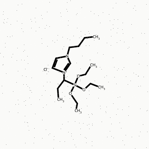 CCCCn1cc[n+](C(CC)[Si](OCC)(OCC)OCC)c1.[Cl-]